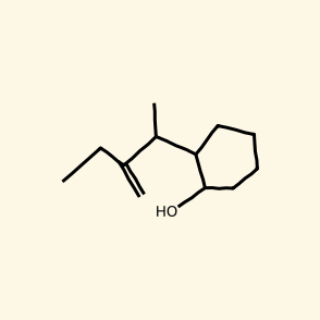 C=C(CC)C(C)C1CCCCC1O